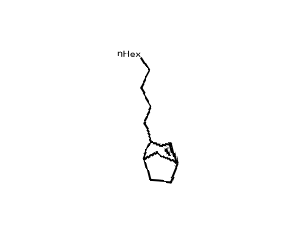 CCCCCCCCCCC1C=C2CCC1C2